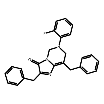 O=C1C(Cc2ccccc2)=NC2=C(Cc3ccccc3)CN(c3ccccc3F)CN12